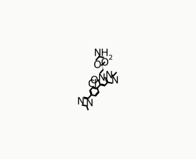 Cc1cncc(-c2ccc(-c3cc4cnc(C)nc4n(CC[C@H]4OC[C@@H](N)CO4)c3=O)c(Cl)c2)n1